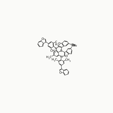 Cc1cc2c3c(c1)N(c1c(C)cc(-c4coc5ccccc45)cc1C)c1oc4ccc(C(C)(C)C)cc4c1B3c1c(oc3ccc(C(C)(C)C)cc13)N2c1c(C)cc(-c2coc3ccccc23)cc1C